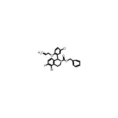 C=CCOc1ccc(Cl)cc1C1c2ccc(F)c(Br)c2CCN1C(=O)OCc1ccccc1